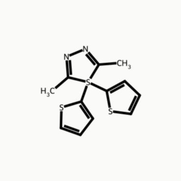 CC1=NN=C(C)S1(c1cccs1)c1cccs1